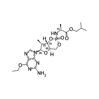 CCOc1nc(N)nc2c1ncn2[C@@H]1O[C@@H]2COP(=O)(N[C@@H](C)C(=O)OCC(C)C)O[C@H]2[C@@H]1C